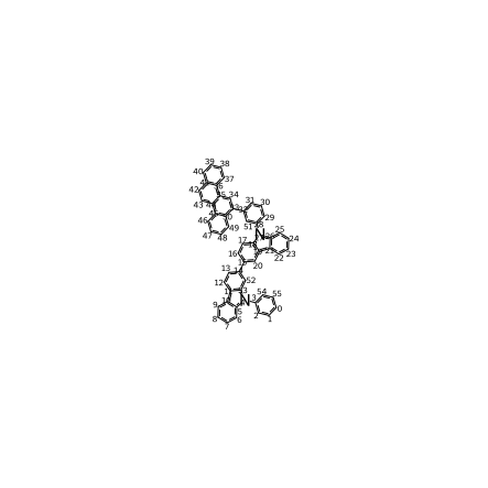 c1ccc(-n2c3ccccc3c3ccc(-c4ccc5c(c4)c4ccccc4n5-c4cccc(-c5cc6c7ccccc7ccc6c6ccccc56)c4)cc32)cc1